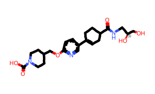 O=C(NC[C@H](O)CO)C1CC=C(c2ccc(OCC3CCN(C(=O)O)CC3)nc2)CC1